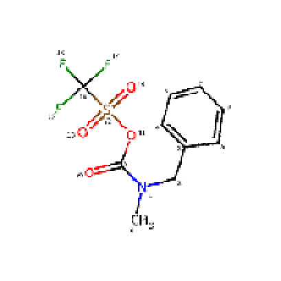 CN(Cc1ccccc1)C(=O)OS(=O)(=O)C(F)(F)F